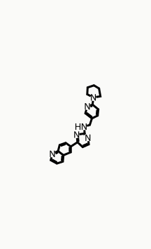 c1cnc2ccc(-c3ccnc(NCc4ccc(N5CCCCC5)nc4)n3)cc2c1